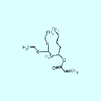 C=CC(=O)OC(CCCC)[SiH2]C(OCC)OCC